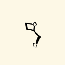 ClCC1CCO1